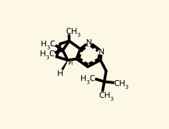 CC(C)(C)Cc1cc2c(nn1)C1(C)CC[C@@H]2C1(C)C